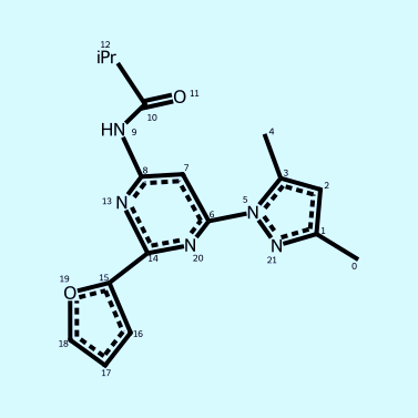 Cc1cc(C)n(-c2cc(NC(=O)C(C)C)nc(-c3ccco3)n2)n1